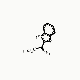 C=C(C(=O)O)c1nc2ccccc2[nH]1